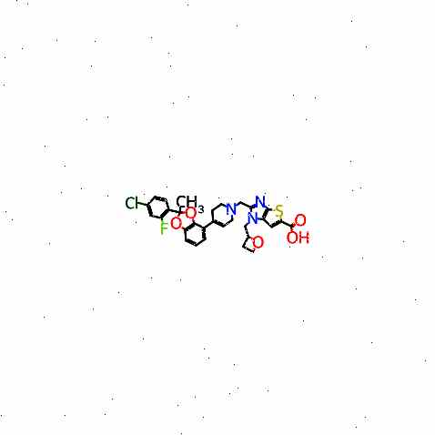 CC1(c2ccc(Cl)cc2F)Oc2cccc(C3=CCN(Cc4nc5sc(C(=O)O)cc5n4CC4CCO4)CC3)c2O1